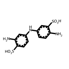 Nc1cc(Nc2ccc(N)c(S(=O)(=O)O)c2)ccc1S(=O)(=O)O